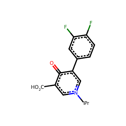 CC(C)n1cc(C(=O)O)c(=O)c(-c2ccc(F)c(F)c2)c1